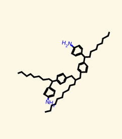 CCCCCCCCCCC(Cc1ccc(C(CCCCCCCC)c2ccc(N)cc2)cc1)Cc1ccc(C(CCCCCCCC)c2ccc(N)cc2)cc1